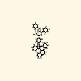 N=C(CC(NCc1ccccc1)c1ccccc1)c1ccc(-n2c3c(c4c5c6ccccc6ccc5c5ccccc5c42)CCC=C3)cc1